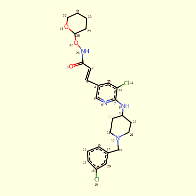 O=C(/C=C/c1cnc(NC2CCN(Cc3cccc(Cl)c3)CC2)c(Cl)c1)NOC1CCCCO1